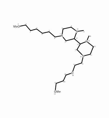 COCCCCCCN1CCN(C)C(C2CN(CCOCCCOC)CCN2C)C1